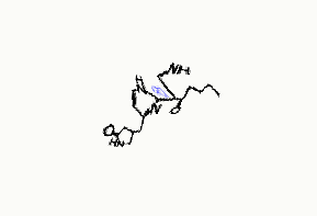 CCCCC(=O)/C(C=N)=C1\N=C(CC2CNC(=O)C2)C=CN1